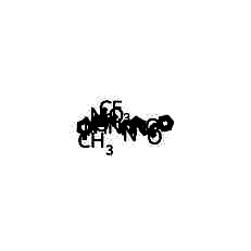 CC1CCCN(c2nc(C(F)(F)F)c(C(=O)Nc3cnc4c(ccn4CC(=O)Oc4ccccc4)c3)o2)C1